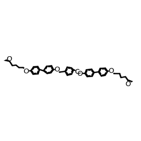 c1cc(COc2ccc(-c3ccc(OCCCCC4CO4)cc3)cc2)ccc1COc1ccc(-c2ccc(OCCCCC3CO3)cc2)cc1